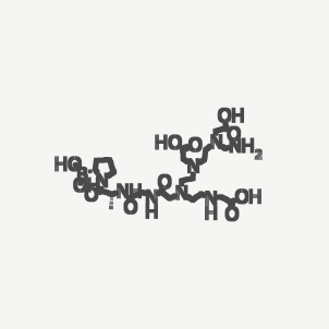 C[C@@H](NC(=O)CNC(=O)CN(CCNCC(=O)O)CCN(CCN(CN)CC(=O)O)CC(=O)O)C(=O)N1CCC[C@H]1B(O)O